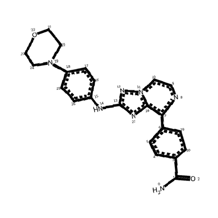 NC(=O)c1ccc(-c2nccn3nc(Nc4ccc(N5CCOCC5)cc4)nc23)cc1